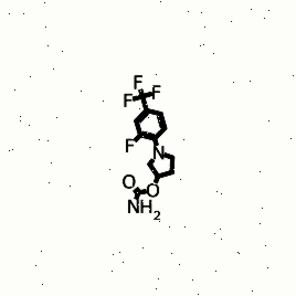 NC(=O)OC1CCN(c2ccc(C(F)(F)F)cc2F)C1